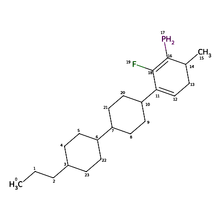 CCCC1CCC(C2CCC(C3=CCC(C)C(P)=C3F)CC2)CC1